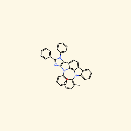 CC1=C(n2c3ccccc3c3ccc4c5c(nc(-c6ccccc6)n5-c5ccccc5)n(-c5ccccc5)c4c32)CCC=C1